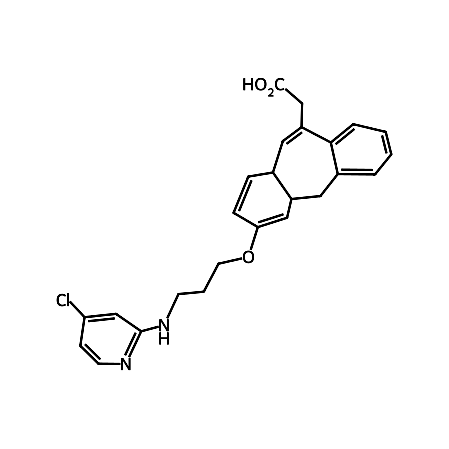 O=C(O)CC1=CC2C=CC(OCCCNc3cc(Cl)ccn3)=CC2Cc2ccccc21